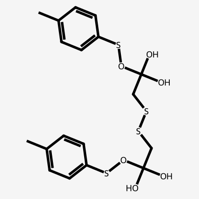 Cc1ccc(SOC(O)(O)CSSCC(O)(O)OSc2ccc(C)cc2)cc1